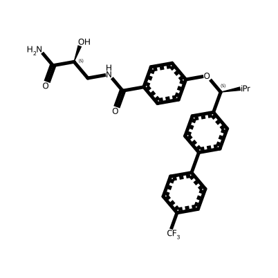 CC(C)[C@H](Oc1ccc(C(=O)NC[C@H](O)C(N)=O)cc1)c1ccc(-c2ccc(C(F)(F)F)cc2)cc1